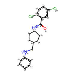 O=C(N[C@H]1CC[C@H](CNc2ccccc2)CC1)c1cc(Cl)ccc1Cl